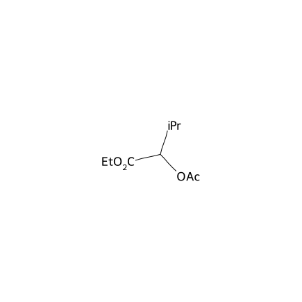 CCOC(=O)C(OC(C)=O)C(C)C